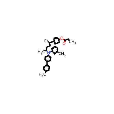 C=CC(=O)Oc1ccc(C(CC)CCC(C)N(c2ccc(-c3ccc(C)cc3)cc2)c2cccc(C)c2)cc1